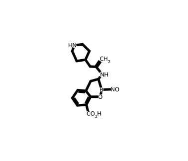 C=C(CC1CCNCC1)NC1Cc2cccc(C(=O)O)c2OB1N=O